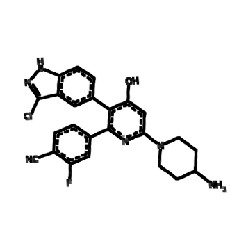 N#Cc1ccc(-c2nc(N3CCC(N)CC3)cc(O)c2-c2ccc3c(c2)C(Cl)=NB3)cc1F